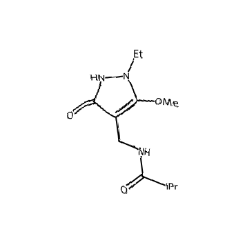 CCn1[nH]c(=O)c(CNC(=O)C(C)C)c1OC